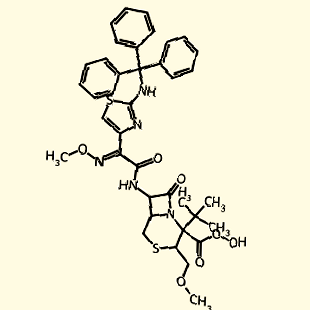 COCC1SCC2C(NC(=O)C(=NOC)c3csc(NC(c4ccccc4)(c4ccccc4)c4ccccc4)n3)C(=O)N2C1(C(=O)OO)C(C)(C)C